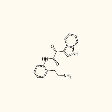 CCCc1ccccc1NC(=O)C(=O)c1c[nH]c2ccccc12